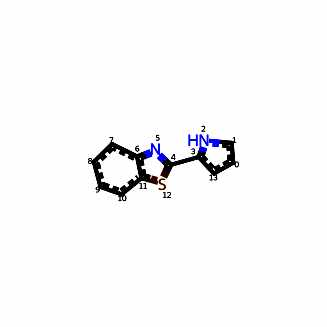 c1c[nH]c(-c2nc3ccccc3s2)c1